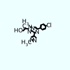 C[C@@H](CO)c1nc2c(-c3cnn(C)c3)nc(-c3ccc(Cl)cc3)cn2n1